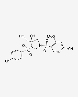 COc1cc(C#N)ccc1S(=O)(=O)N1C[C@H](S(=O)(=O)c2ccc(Cl)cc2)[C@](O)(CO)C1